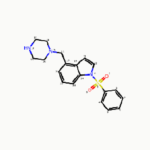 O=S(=O)(c1ccccc1)n1ccc2c(CN3CCNCC3)[c]ccc21